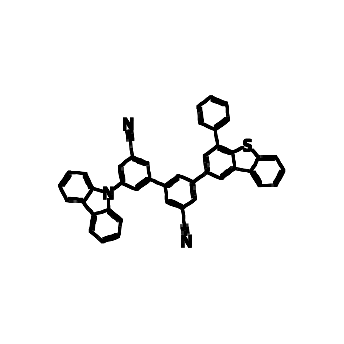 N#Cc1cc(-c2cc(C#N)cc(-n3c4ccccc4c4ccccc43)c2)cc(-c2cc(-c3ccccc3)c3sc4ccccc4c3c2)c1